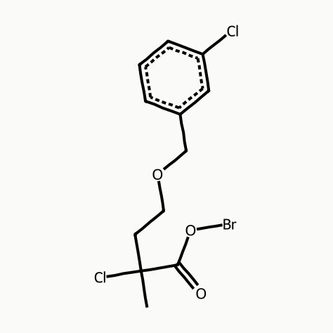 CC(Cl)(CCOCc1cccc(Cl)c1)C(=O)OBr